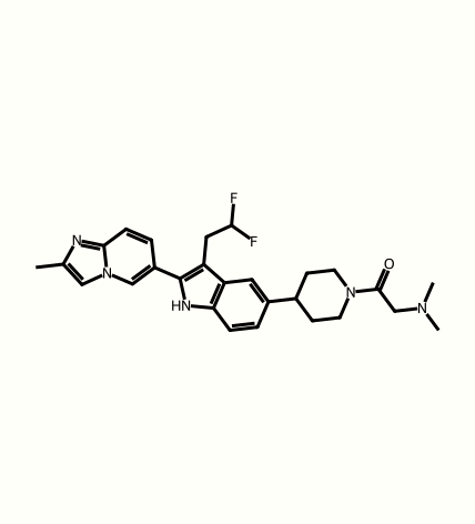 Cc1cn2cc(-c3[nH]c4ccc(C5CCN(C(=O)CN(C)C)CC5)cc4c3CC(F)F)ccc2n1